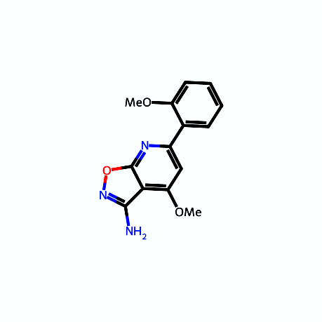 COc1ccccc1-c1cc(OC)c2c(N)noc2n1